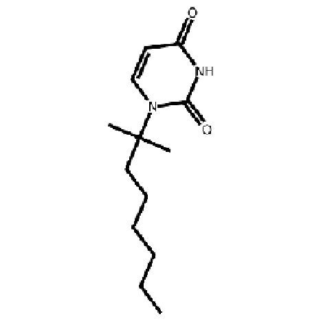 CCCCCCC(C)(C)n1ccc(=O)[nH]c1=O